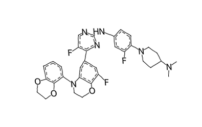 CN(C)C1CCN(c2ccc(Nc3ncc(F)c(-c4cc(F)c5c(c4)N(c4cccc6c4OCCO6)CCO5)n3)cc2F)CC1